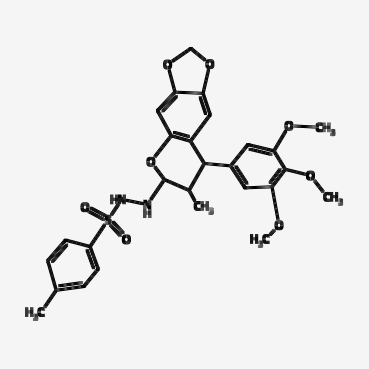 COc1cc(C2c3cc4c(cc3OC(NNS(=O)(=O)c3ccc(C)cc3)C2C)OCO4)cc(OC)c1OC